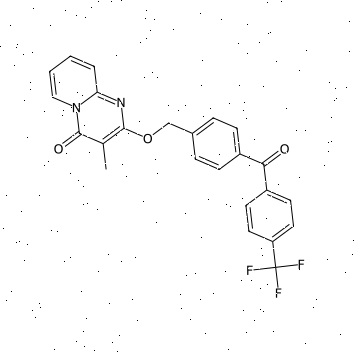 Cc1c(OCc2ccc(C(=O)c3ccc(C(F)(F)F)cc3)cc2)nc2ccccn2c1=O